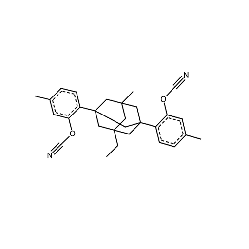 CCC12CC3(C)CC(c4ccc(C)cc4OC#N)(C1)CC(c1ccc(C)cc1OC#N)(C3)C2